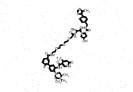 Cc1ncsc1-c1ccc(CNC(=O)[C@@H]2C[C@@H](O)CN2C(=O)C(NC(=O)COCCOCCOCCNC(=O)c2ccc(F)c(-c3ccc(N4C[C@@H](C)N(C)[C@@H](C)C4)c(NC(=O)c4c[nH]c(=O)cc4C(F)(F)F)c3)c2)C(C)(C)C)cc1